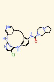 O=C(Nc1ccc2cc1CCC1C=NC=C(C1)Nc1ncc(Cl)c(n1)N2)N1CCN2CCCC2C1